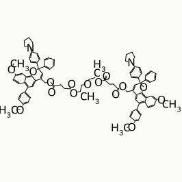 COc1ccc(-c2cc3c(c4cc(OC)ccc24)OC(c2ccccc2)(c2ccc(N4CCCC4)cc2)C=C3COC(=O)CCC(=O)OC(C)COCC(C)OC(=O)CCC(=O)OCC2=CC(c3ccccc3)(c3ccc(N4CCCC4)cc3)Oc3c2cc(-c2ccc(OC)cc2)c2ccc(OC)cc32)cc1